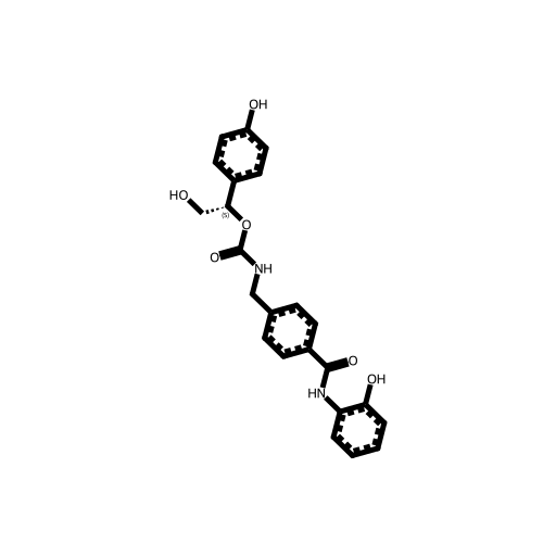 O=C(NCc1ccc(C(=O)Nc2ccccc2O)cc1)O[C@H](CO)c1ccc(O)cc1